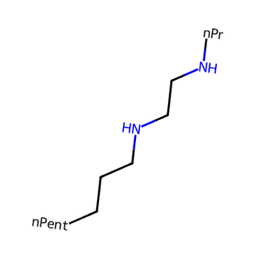 [CH2]CCNCCNCCCCCCCC